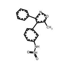 Cc1onc(-c2ccccc2)c1-c1cccc(N[SH](=O)=O)c1